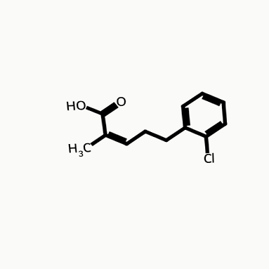 CC(=CCCc1ccccc1Cl)C(=O)O